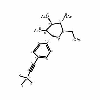 CC(=O)OC[C@H]1O[C@H](c2ccc(C#CS(C)(C)C)cc2)[C@@H](OC(C)=O)[C@@H](OC(C)=O)[C@@H]1OC(C)=O